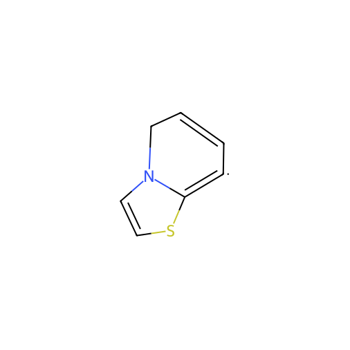 [C]1=C2SC=CN2CC=C1